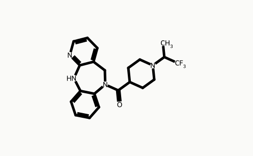 CC(N1CCC(C(=O)N2Cc3cccnc3Nc3ccccc32)CC1)C(F)(F)F